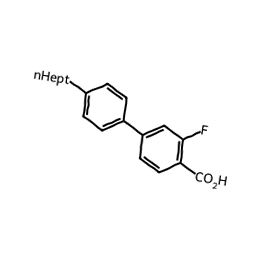 CCCCCCCc1ccc(-c2ccc(C(=O)O)c(F)c2)cc1